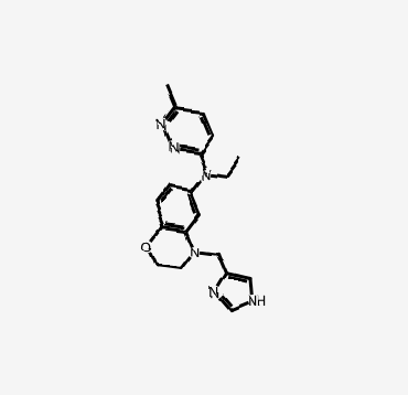 CCN(c1ccc2c(c1)N(Cc1c[nH]cn1)CCO2)c1ccc(C)nn1